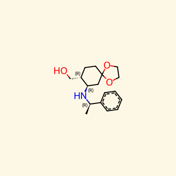 C[C@@H](N[C@@H]1CC2(CC[C@H]1CO)OCCO2)c1ccccc1